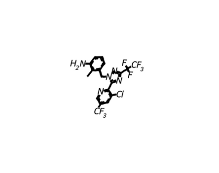 Cc1c(N)cccc1Cn1nc(C(F)(F)C(F)(F)F)nc1-c1ncc(C(F)(F)F)cc1Cl